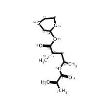 C=C(C)C(=O)OC(C)C[C@H](C)C(=O)OC1CSCCO1